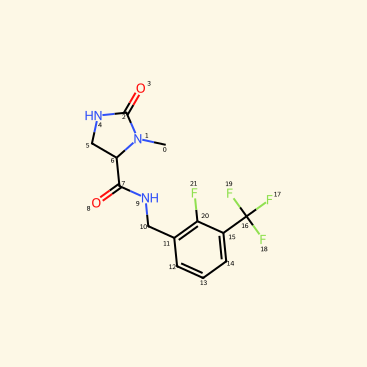 CN1C(=O)NCC1C(=O)NCc1cccc(C(F)(F)F)c1F